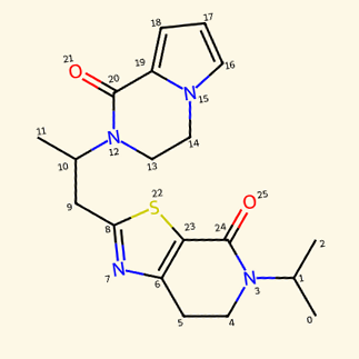 CC(C)N1CCc2nc(CC(C)N3CCn4cccc4C3=O)sc2C1=O